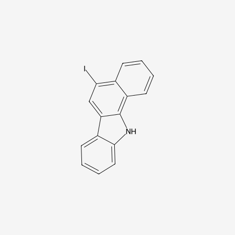 Ic1cc2c3ccccc3[nH]c2c2ccccc12